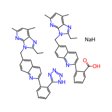 CCc1nc2c(C)cc(C)nc2n1Cc1ccc2nc(-c3ccccc3-c3nnn[nH]3)ccc2c1.CCc1nc2c(C)cc(C)nc2n1Cc1ccc2nc(-c3ccccc3C(=O)O)ccc2c1.[NaH]